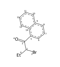 CCC(Br)C(=O)c1cccc2ccccc12